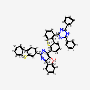 c1ccc(-c2nc(-c3ccccc3)nc(-c3cccc4sc5c(-c6nc(-c7ccc8c(c7)sc7ccccc78)nc7c6oc6ccccc67)cccc5c34)n2)cc1